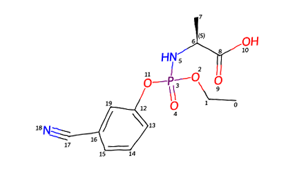 CCOP(=O)(N[C@@H](C)C(=O)O)Oc1cccc(C#N)c1